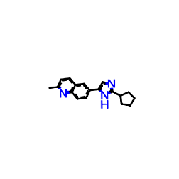 Cc1ccc2cc(-c3cnc(C4CCCC4)[nH]3)ccc2n1